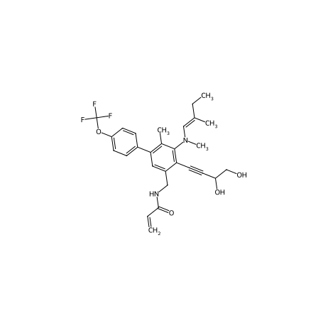 C=CC(=O)NCc1cc(-c2ccc(OC(F)(F)F)cc2)c(C)c(N(C)/C=C(\C)CC)c1C#CC(O)CO